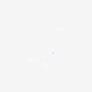 O=C(O)C1Cc2c(F)ccc(O)c2CN1